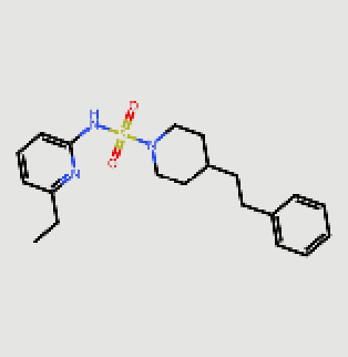 CCc1cccc(NS(=O)(=O)N2CCC(CCc3ccccc3)CC2)n1